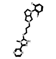 CN1C(c2cnccn2)=NNC1SCCCN1CC2CCN(c3c(F)cccc3F)C2C1